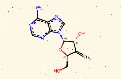 C=C1[C@@H](O)[C@H](n2cnc3c(N)ncnc32)O[C@@H]1CO